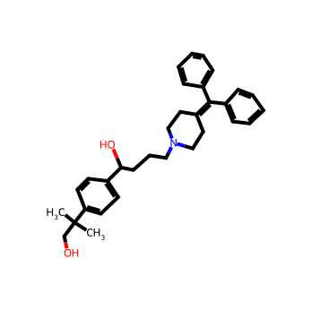 CC(C)(CO)c1ccc(C(O)CCCN2CCC(=C(c3ccccc3)c3ccccc3)CC2)cc1